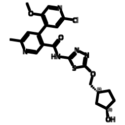 COc1cnc(Cl)cc1-c1cc(C)ncc1C(=O)Nc1nnc(OC[C@@H]2CC[C@@H](O)C2)s1